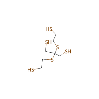 SCCSC(CS)(CS)SCCS